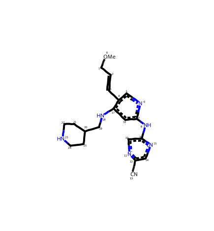 COC/C=C/c1cnc(Nc2cnc(C#N)cn2)cc1NCC1CCNCC1